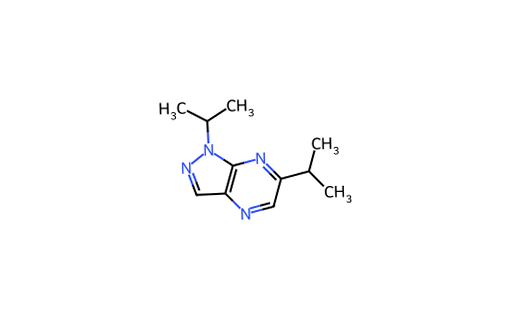 CC(C)c1cnc2cnn(C(C)C)c2n1